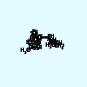 CCOC(=O)CC(c1ccccc1)N1C(=O)c2cc(C#CC(S)CNC(=O)OC(C)(C)C)ccc2N(c2ccccc2)C(=O)C1c1ccccc1